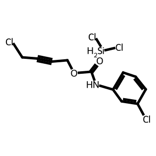 Cl[SiH2]Cl.O=C(Nc1cccc(Cl)c1)OCC#CCCl